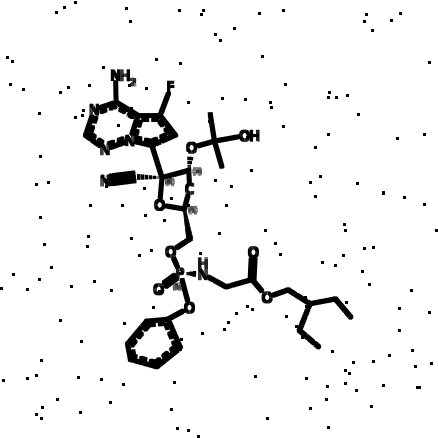 CCC(CC)COC(=O)CN[P@](=O)(OC[C@@H]1C[C@@H](OC(C)(C)O)[C@](C#N)(c2cc(F)c3c(N)ncnn23)O1)Oc1ccccc1